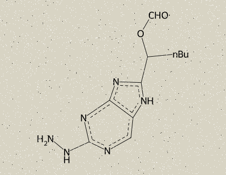 CCCCC(O[C]=O)c1nc2nc(NN)ncc2[nH]1